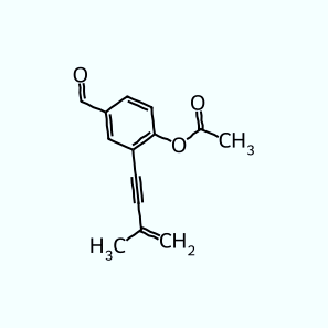 C=C(C)C#Cc1cc(C=O)ccc1OC(C)=O